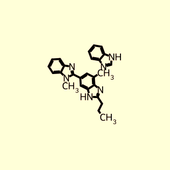 CCCc1nc2c(C)cc(-c3nc4ccccc4n3C)cc2[nH]1.c1ccc2[nH]cnc2c1